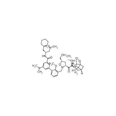 COc1c(CN2O[C@@H](CO)[C@H]([C@H](C)O)[C@H]2C(=O)N[C@@H]2C[C@H]3C[C@@H]([C@@H]2C)C3(C)C)cccc1-c1cc(C(=O)N[C@@H](CC2CCCCC2)CN(C)C)cc(N(C)C)c1